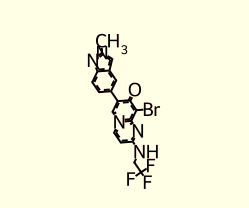 Cn1cc2cc(-c3cn4ccc(NCC(F)(F)F)nc4c(Br)c3=O)ccc2n1